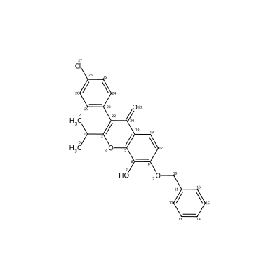 CC(C)c1oc2c(O)c(OCc3ccccc3)ccc2c(=O)c1-c1ccc(Cl)cc1